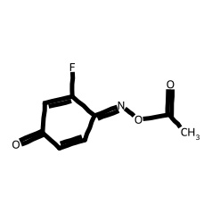 CC(=O)ON=C1C=CC(=O)C=C1F